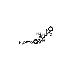 CC#CCOc1ccc(S(=O)(=O)NC(CCCNC(=O)C2CCCCC2)C(=O)NO)cc1